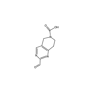 O=Cc1ncc2c(n1)CCN(C(=O)O)C2